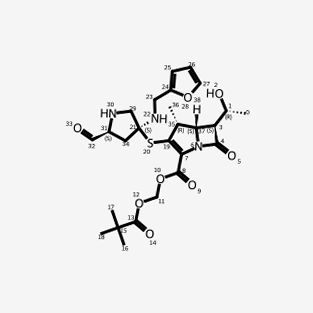 C[C@@H](O)[C@H]1C(=O)N2C(C(=O)OCOC(=O)C(C)(C)C)=C(S[C@]3(NCc4ccco4)CN[C@H](C=O)C3)[C@H](C)[C@H]12